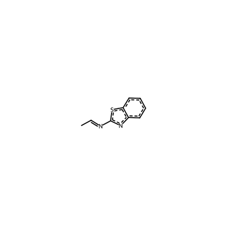 CC=Nc1nc2ccccc2s1